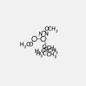 COc1cccc(-c2cc(CO[Si](C)(C)C(C)(C)C)cc3nc(OC)cnc23)c1